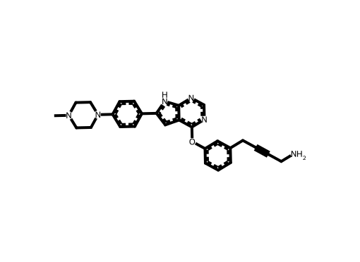 CN1CCN(c2ccc(-c3cc4c(Oc5cccc(CC#CCN)c5)ncnc4[nH]3)cc2)CC1